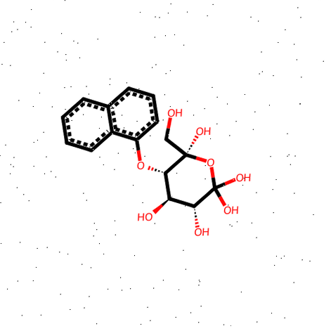 OC[C@@]1(O)OC(O)(O)[C@H](O)[C@@H](O)[C@@H]1Oc1cccc2ccccc12